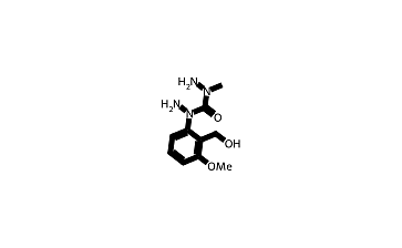 COc1cccc(N(N)C(=O)N(C)N)c1CO